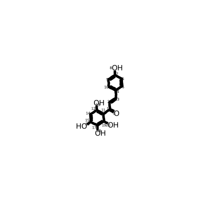 O=C(C=Cc1ccc(O)cc1)c1c(O)cc(O)c(O)c1O